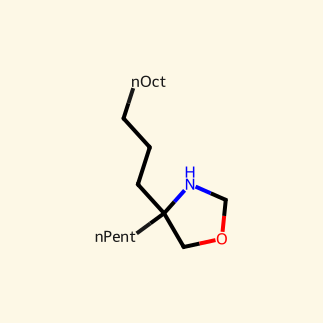 CCCCCCCCCCCC1(CCCCC)COCN1